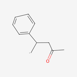 [CH2]C(CC(C)=O)c1ccccc1